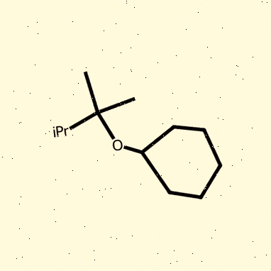 CC(C)C(C)(C)OC1CCCCC1